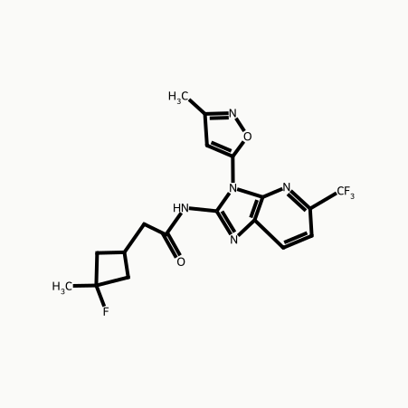 Cc1cc(-n2c(NC(=O)CC3CC(C)(F)C3)nc3ccc(C(F)(F)F)nc32)on1